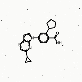 NC(=O)c1ccc(-n2ccc3ncc(C4CC4)nc32)cc1C1CCCC1